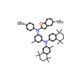 Cc1cc(N(c2ccc(C(C)(C)C)cc2)c2cc3cc(C(C)(C)C)ccc3o2)cc(N(c2ccc3c(c2)C(C)(C)CCC3(C)C)c2cc3c(cc2C)C(C)(C)CCC3(C)C)c1